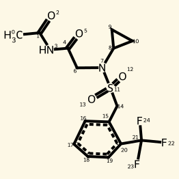 CC(=O)NC(=O)CN(C1CC1)S(=O)(=O)Cc1ccccc1C(F)(F)F